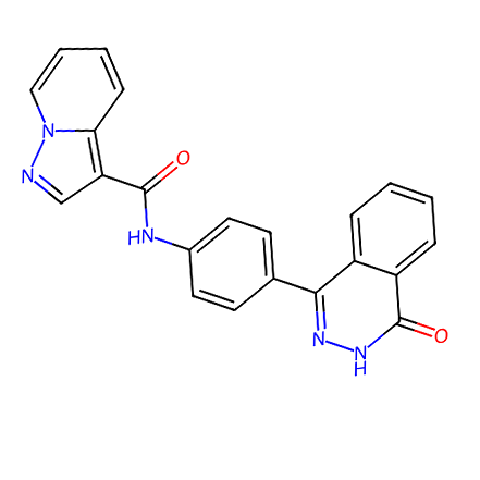 O=C(Nc1ccc(-c2n[nH]c(=O)c3ccccc23)cc1)c1cnn2ccccc12